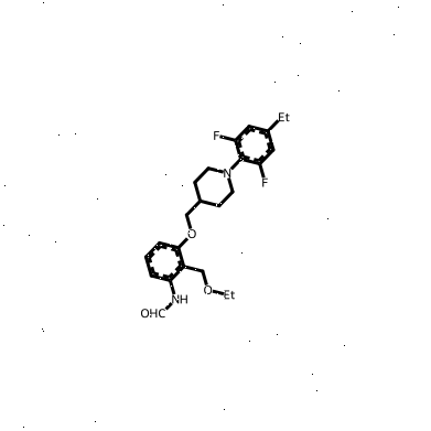 CCOCc1c(NC=O)cccc1OCC1CCN(c2c(F)cc(CC)cc2F)CC1